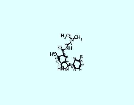 CN(C)CCNC(=O)c1cc2c(-c3cccc(F)c3)n[nH]c2cc1O